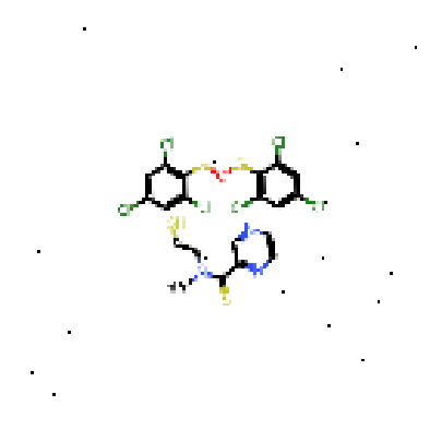 CCCN(CCS)C(=S)c1cnccn1.Clc1cc(Cl)c(SOSc2c(Cl)cc(Cl)cc2Cl)c(Cl)c1